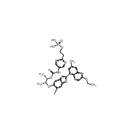 CCOc1cnc2c(-c3nc4cc(F)c(O[C@@H](C)[C@@H](C)OC(=O)Nc5cnc(CCOP(=O)(O)O)nc5)cc4s3)cc(C)cc2n1